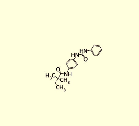 CCC(C)(C)C(=O)Nc1ccc(NC(=O)Nc2ccccc2)cc1